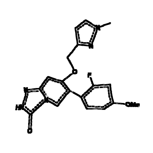 COc1ccc(-c2cn3c(=O)[nH]nc3cc2OCc2ccn(C)n2)c(F)c1